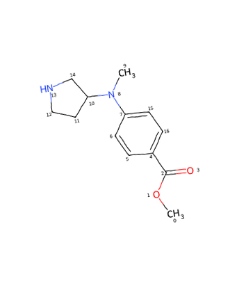 COC(=O)c1ccc(N(C)C2CCNC2)cc1